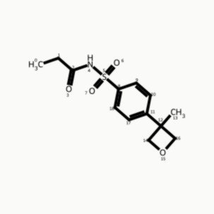 CCC(=O)NS(=O)(=O)c1ccc(C2(C)COC2)cc1